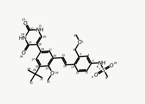 COCc1cc(NS(C)(=O)=O)ccc1C=Cc1cc(-c2c[nH]c(=O)[nH]c2=O)cc(C(C)(C)C)c1OC